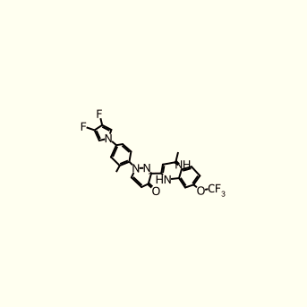 CC(=N)/C=C(\Nc1cccc(OC(F)(F)F)c1)c1nn(-c2ccc(-n3cc(F)c(F)c3)cc2C)ccc1=O